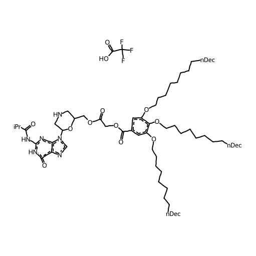 CCCCCCCCCCCCCCCCCCOc1cc(C(=O)OCC(=O)OCC2CNCC(n3cnc4c(=O)[nH]c(NC(=O)C(C)C)nc43)O2)cc(OCCCCCCCCCCCCCCCCCC)c1OCCCCCCCCCCCCCCCCCC.O=C(O)C(F)(F)F